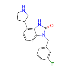 O=c1[nH]c2c(C3CCNC3)cccc2n1Cc1cccc(F)c1